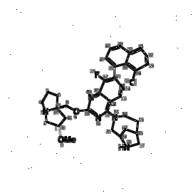 CO[C@@H]1CN2CCC[C@]2(COc2nc(N3CCC4CNC(C4)C3)c3cnc(-c4cccc5cccc(Cl)c45)c(F)c3n2)C1